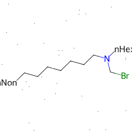 CCCCCCCCCCCCCCCCN(CBr)CCCCCC